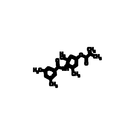 C=C(C)C(=O)Oc1cc(C)c(NC(=O)c2cc(C)cc(C)c2)c(C)c1